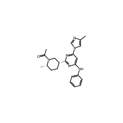 CC(=O)N1C[C@H](c2nc(Nc3ccccc3)cc(-n3cnc(C)c3)n2)CC[C@@H]1C